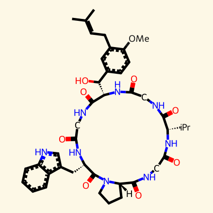 COc1ccc(C(O)[C@@H]2NC(=O)CNC(=O)[C@H](C(C)C)NC(=O)CNC(=O)[C@@H]3CCCN3C(=O)[C@H](Cc3c[nH]c4ccccc34)NC(=O)CNC2=O)cc1CC=C(C)C